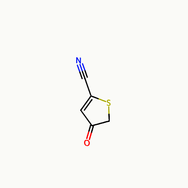 N#CC1=CC(=O)CS1